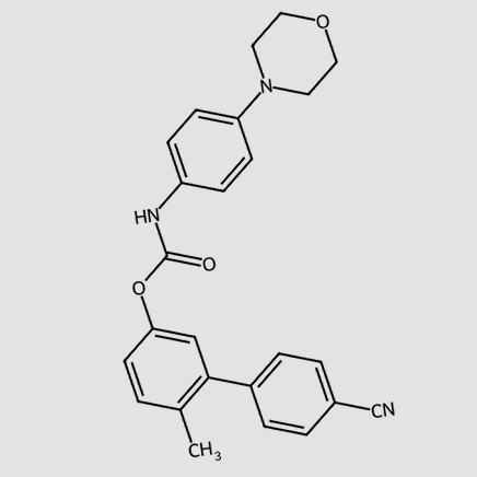 Cc1ccc(OC(=O)Nc2ccc(N3CCOCC3)cc2)cc1-c1ccc(C#N)cc1